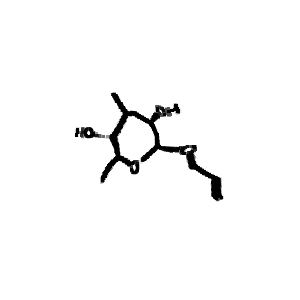 C=CCO[C@H]1OC(C)[C@H](O)C(C)[C@H]1O